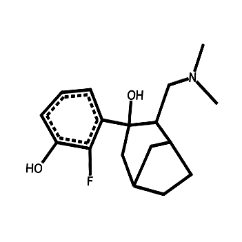 CN(C)CC1C2CCC(C2)CC1(O)c1cccc(O)c1F